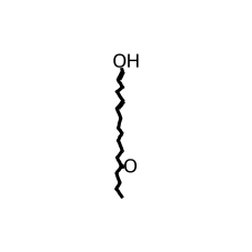 CCCCC(=O)CCCCCCC=CCCC=CO